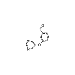 O=Cc1cccc(Oc2cccnc2)c1